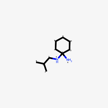 CC(C)CNC1(N)CCCCC1